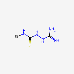 CCNC(=S)NNC(=N)N